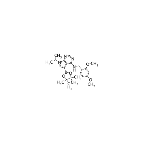 COc1ccc(CNc2ncnc3c2c(B2OC(C)(C)C(C)(C)O2)cn3C(C)C)c(OC)c1